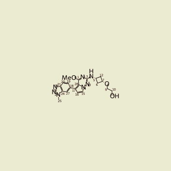 COc1nc(N[C@H]2C[C@@H](OCCO)C2)nn2ccc(-c3ccc4nnn(C)c4c3)c12